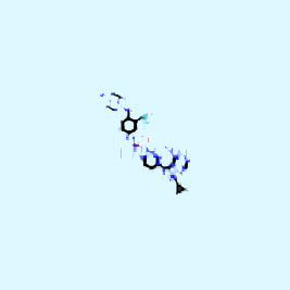 CN1CCN(Cc2ccc(NC(=O)Nc3ccc(-c4nc(C5CC5)n5ccnc(N)c45)cn3)cc2C(F)(F)F)CC1